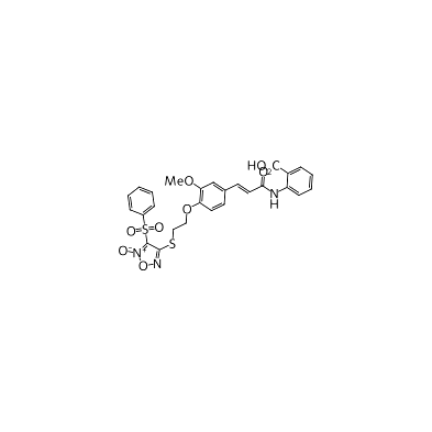 COc1cc(/C=C/C(=O)Nc2ccccc2C(=O)O)ccc1OCCSc1no[n+]([O-])c1S(=O)(=O)c1ccccc1